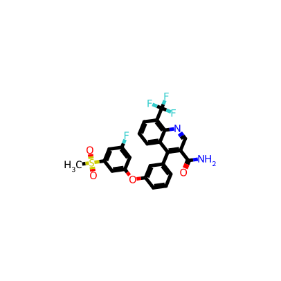 CS(=O)(=O)c1cc(F)cc(Oc2cccc(-c3c(C(N)=O)cnc4c(C(F)(F)F)cccc34)c2)c1